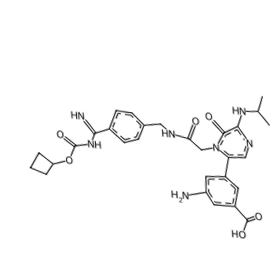 CC(C)Nc1ncc(-c2cc(N)cc(C(=O)O)c2)n(CC(=O)NCc2ccc(C(=N)NC(=O)OC3CCC3)cc2)c1=O